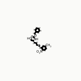 Cc1ccc([N+](=O)[O-])c(SOCCC[C@@H](CO)NC(=O)OCc2ccccc2)c1